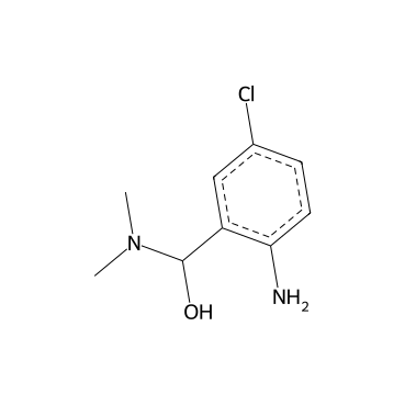 CN(C)C(O)c1cc(Cl)ccc1N